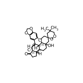 CC1(C)COOC2(CC[C@@]34Cc5cc6c(cc5[C@H]5C[C@]7(C)C(=O)CC[C@H]7[C@H](CC[C@@]3(O)C2)[C@H]54)OCO6)C1